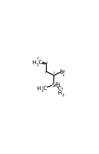 C=CCC(Br)[SiH](C)C